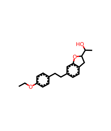 CCOc1ccc(CCc2ccc3c(c2)OC(C(C)O)C3)cc1